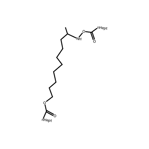 CCCCCCCC(=O)OCCCCCCCCC(C)NOC(=O)CCCCCCC